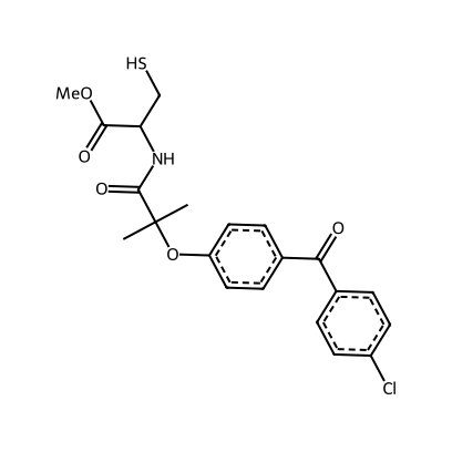 COC(=O)C(CS)NC(=O)C(C)(C)Oc1ccc(C(=O)c2ccc(Cl)cc2)cc1